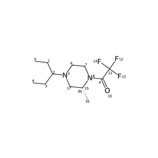 CCC(CC)N1CCN(C(=O)C(F)(F)F)[C@H](C)C1